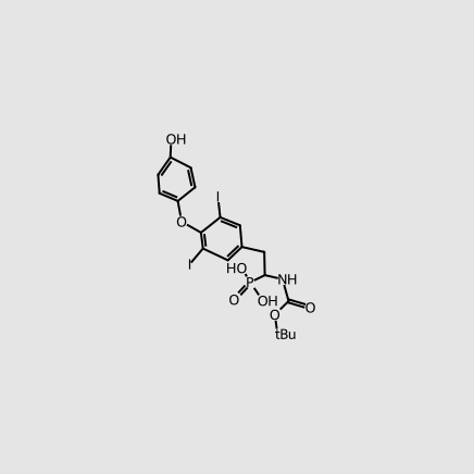 CC(C)(C)OC(=O)NC(Cc1cc(I)c(Oc2ccc(O)cc2)c(I)c1)P(=O)(O)O